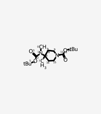 CN(C(=O)OC(C)(C)C)C1(C)CCN(C(=O)OC(C)(C)C)CC1